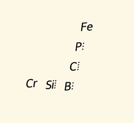 [B].[C].[Cr].[Fe].[P].[Si]